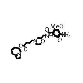 COc1cc(N)c(Cl)cc1C(=O)NCC1CN(CCCC(=O)O[C@@H]2CCCC3CCN3C2)CCO1